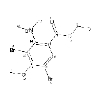 CCOC(=O)c1cc(Br)c(OC)c(Br)c1N(C)C